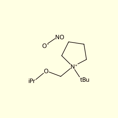 CC(C)OC[N+]1(C(C)(C)C)CCCC1.O=N[O-]